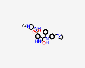 CC(=O)N1CCC(NS(=O)(=O)c2ccc3c(c2)/C(=C(/Nc2ccc(CN4CCCC4)cc2)c2ccccc2)C(=O)N3)CC1